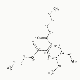 CCCCOC(=O)c1cc(CC)c(CC)cc1C(=O)OCCCC